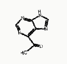 O=C(O)c1ncnc2[nH]cnc12